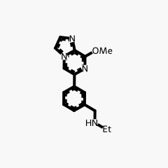 CCNCc1cccc(-c2cn3ccnc3c(OC)n2)c1